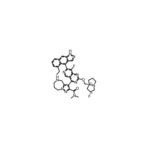 CCc1cccc2cc3[nH]ncc3c(-c3ncc4c(-c5c(C(=O)N(C)C)nn6c5CNCCC6)nc(OC[C@@]56CCCN5C[C@H](F)C6)nc4c3F)c12